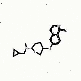 CN(CC1CC1)[C@H]1CC[C@H](Oc2ccc3c(=O)[nH]ccc3c2)CC1